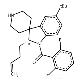 C=CCC[C@H]1N(C(=O)c2c(F)cccc2F)c2ccc(C(C)(C)C)cc2C12CCNCC2